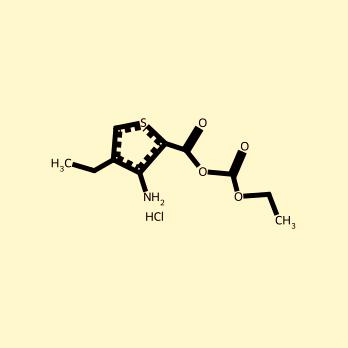 CCOC(=O)OC(=O)c1scc(CC)c1N.Cl